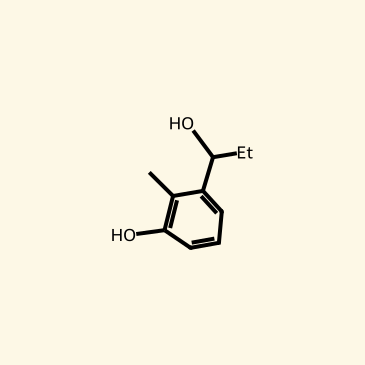 CCC(O)c1cccc(O)c1C